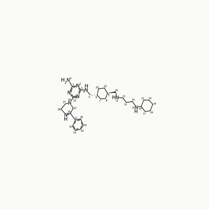 Nc1nc(NC[C@H]2CC[C@H](CNCCCNC3CCCCC3)CC2)nc(N2CCNC(c3ccccc3)C2)n1